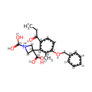 CCC(=O)c1ccc(OCc2ccccc2)c(C)c1C1(C(=O)O)CN(C(=O)O)C1